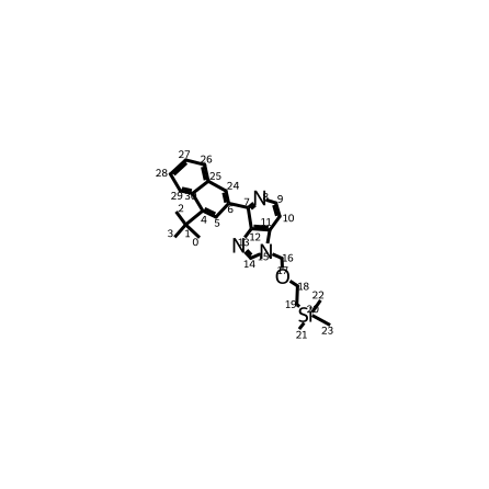 CC(C)(C)c1cc(-c2nccc3c2ncn3COCC[Si](C)(C)C)cc2ccccc12